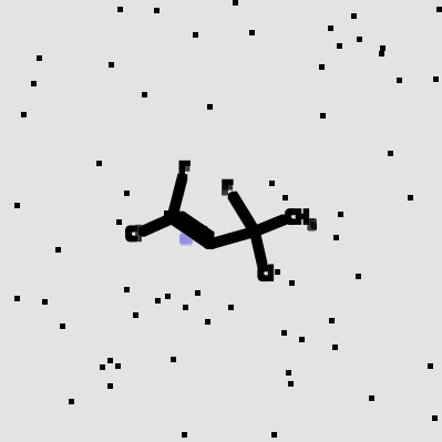 CC(F)(Cl)/C=C(\F)Cl